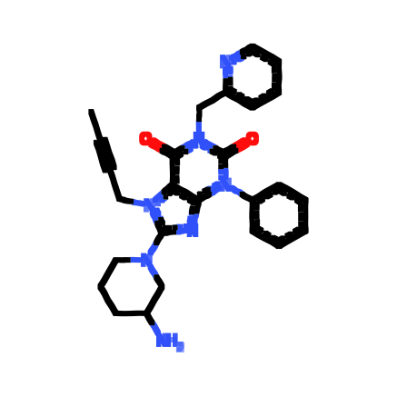 CC#CCn1c(N2CCCC(N)C2)nc2c1c(=O)n(Cc1ccccn1)c(=O)n2-c1ccccc1